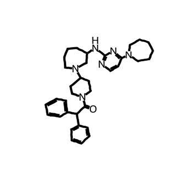 O=C(C(c1ccccc1)c1ccccc1)N1CCC(N2CCCCC(Nc3nccc(N4CCCCCC4)n3)C2)CC1